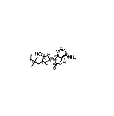 CCC(C)(C)CC1O[C@@H](n2c(=O)[nH]c3c(N)ncnc32)C[C@H]1O